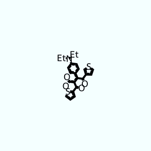 CCN(CC)c1ccc2c(C(=O)c3ccsc3)c(C(=O)c3cccs3)c(=O)oc2c1